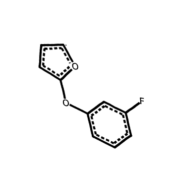 Fc1cccc(Oc2cc[c]o2)c1